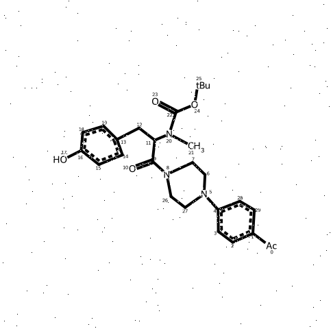 CC(=O)c1ccc(N2CCN(C(=O)C(Cc3ccc(O)cc3)N(C)C(=O)OC(C)(C)C)CC2)cc1